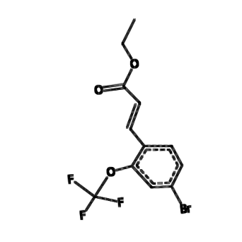 CCOC(=O)C=Cc1ccc(Br)cc1OC(F)(F)F